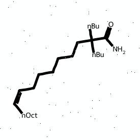 CCCCCCCC/C=C\CCCCCCC(CCCC)(CCCC)C(N)=O